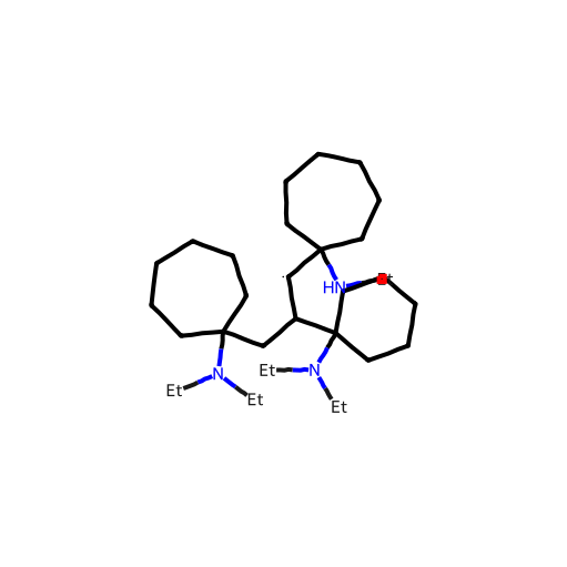 CCNC1([CH]C(CC2(N(CC)CC)CCCCCC2)C2(N(CC)CC)CCCCC2)CCCCCC1